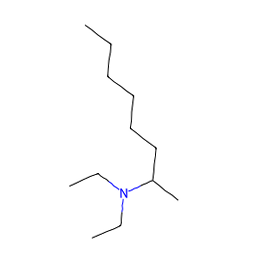 CCCCCCC(C)N(CC)CC